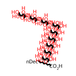 CCCCCCCCCCCCCCCCCC(=O)O.OC[C@@H](O)[C@H]1OC[C@H](O)[C@H]1O.OC[C@@H](O)[C@H]1OC[C@H](O)[C@H]1O.OC[C@@H](O)[C@H]1OC[C@H](O)[C@H]1O.OC[C@@H](O)[C@H]1OC[C@H](O)[C@H]1O.OC[C@@H](O)[C@H]1OC[C@H](O)[C@H]1O.OC[C@@H](O)[C@H]1OC[C@H](O)[C@H]1O.OC[C@@H](O)[C@H]1OC[C@H](O)[C@H]1O.OC[C@@H](O)[C@H]1OC[C@H](O)[C@H]1O.OC[C@@H](O)[C@H]1OC[C@H](O)[C@H]1O